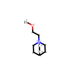 CCOCC[N+]12CCC(CC1)CC2